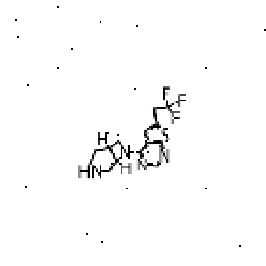 FC(F)(F)Cc1cc2c(N3C[C@H]4CCNC[C@H]43)ncnc2s1